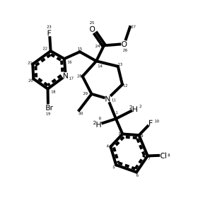 [2H]C([2H])(c1cccc(Cl)c1F)N1CCC(Cc2nc(Br)ccc2F)(C(=O)OC)CC1C